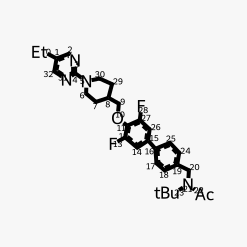 CCc1cnc(N2CCC(COc3c(F)cc(-c4ccc(CN(C(C)=O)C(C)(C)C)cc4)cc3F)CC2)nc1